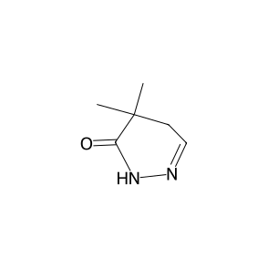 CC1(C)CC=NNC1=O